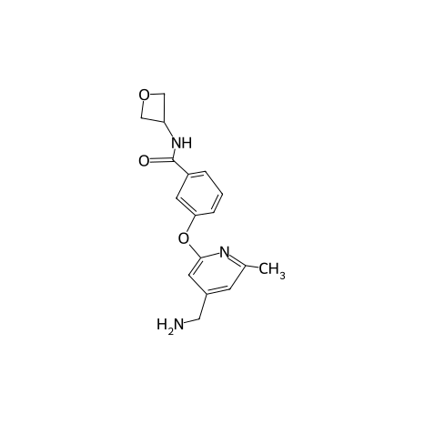 Cc1cc(CN)cc(Oc2cccc(C(=O)NC3COC3)c2)n1